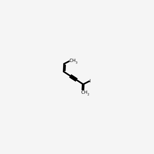 C=C(I)C#C/C=C\C